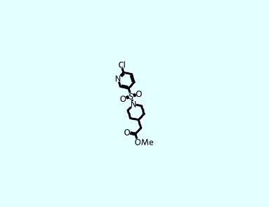 COC(=O)CC1CCN(S(=O)(=O)c2ccc(Cl)nc2)CC1